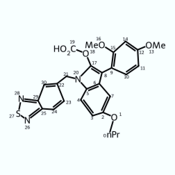 CCCOc1ccc2c(c1)c(-c1ccc(OC)cc1OC)c(OC(=O)O)n2Cc1ccc2nsnc2c1